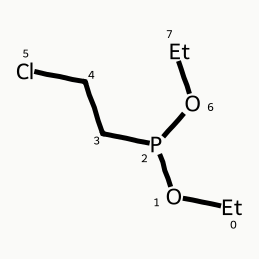 CCOP(CCCl)OCC